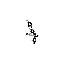 COc1cc(OCc2ccc(Cl)cn2)ccc1-c1c[nH]c(-c2ccc(F)cc2)n1